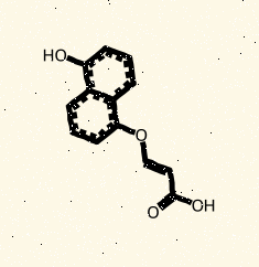 O=C(O)C=COc1cccc2c(O)cccc12